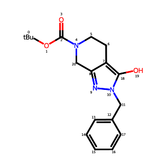 CC(C)(C)OC(=O)N1CCc2c(nn(Cc3ccccc3)c2O)C1